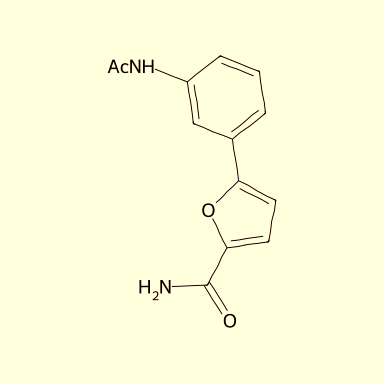 CC(=O)Nc1cccc(-c2ccc(C(N)=O)o2)c1